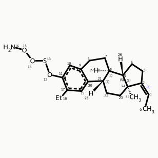 C/C=C1/CC[C@H]2[C@@H]3CCc4cc(OSOON)c(CC)cc4[C@H]3CC[C@]12C